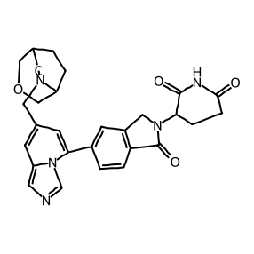 O=C1CCC(N2Cc3cc(-c4cc(CN5CC6CCC5COC6)cc5cncn45)ccc3C2=O)C(=O)N1